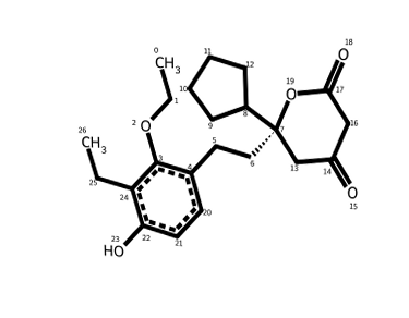 CCOc1c(CC[C@@]2(C3CCCC3)CC(=O)CC(=O)O2)ccc(O)c1CC